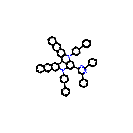 c1ccc(-c2ccc(N3c4cc5cc6ccccc6cc5cc4B4c5cc6cc7ccccc7cc6cc5N(c5ccc(-c6ccccc6)cc5)c5cc(-c6cc(-c7ccccc7)nc(-c7ccccc7)n6)cc3c54)cc2)cc1